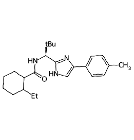 CCC1CCCCC1C(=O)N[C@H](c1nc(-c2ccc(C)cc2)c[nH]1)C(C)(C)C